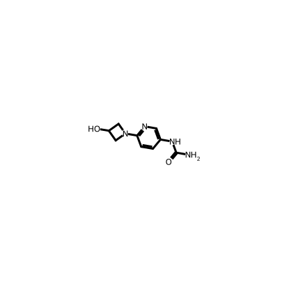 NC(=O)Nc1ccc(N2CC(O)C2)nc1